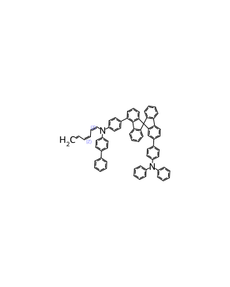 C=C/C=C\C=C/N(c1ccc(-c2ccccc2)cc1)c1ccc(-c2cccc3c2-c2ccccc2C32c3ccccc3-c3ccc(-c4ccc(N(c5ccccc5)c5ccccc5)cc4)cc32)cc1